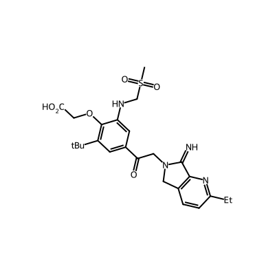 CCc1ccc2c(n1)C(=N)N(CC(=O)c1cc(NCS(C)(=O)=O)c(OCC(=O)O)c(C(C)(C)C)c1)C2